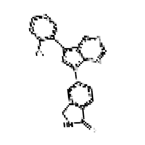 N#Cc1ccccc1-c1cn(-c2ccc3c(c2)CNC3=O)c2ncncc12